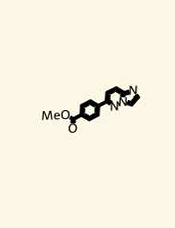 COC(=O)c1ccc(-c2ccc3nccn3n2)cc1